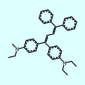 CCN(C)c1ccc(/C(=C/C=C(c2ccccc2)c2ccccc2)c2ccc(N(CC)CC)cc2)cc1